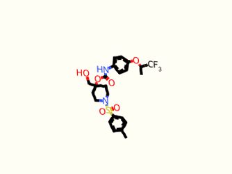 Cc1ccc(S(=O)(=O)N2CCC(CO)(OC(=O)Nc3ccc(OC(C)C(F)(F)F)cc3)CC2)cc1